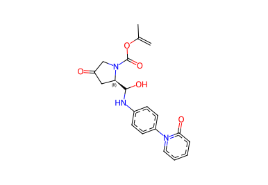 C=C(C)OC(=O)N1CC(=O)C[C@@H]1C(O)Nc1ccc(-n2ccccc2=O)cc1